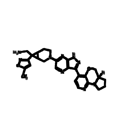 Cc1cc(C2(CN)C3CCN(c4cnc5c(-c6ccnc7c6OC[C@@H]6CCCN76)n[nH]c5n4)CC32)no1